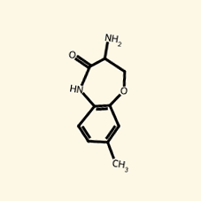 Cc1ccc2c(c1)OCC(N)C(=O)N2